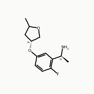 CC1C[C@@H](Oc2ccc(F)c([C@H](C)N)c2)CO1